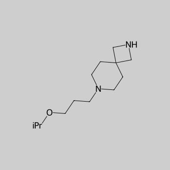 CC(C)OCCCN1CCC2(CC1)CNC2